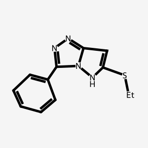 CCSc1cc2nnc(-c3ccccc3)n2[nH]1